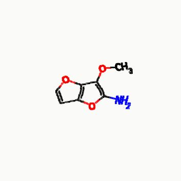 COc1c(N)oc2ccoc12